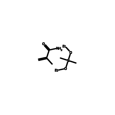 C=C(C)C(N)=O.CCO[Si](C)(C)OCC